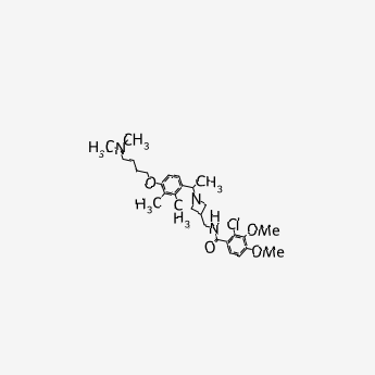 COc1ccc(C(=O)NCC2CN(C(C)c3ccc(OCCCCN(C)C)c(C)c3C)C2)c(Cl)c1OC